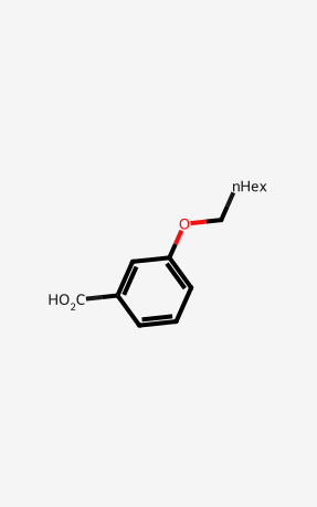 CCCCCCCOc1cccc(C(=O)O)c1